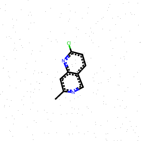 Cc1cc2nc(Cl)ccc2cn1